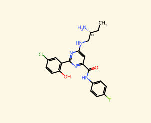 CC[C@@H](N)CNc1cc(C(=O)Nc2ccc(F)cc2)nc(-c2cc(Cl)ccc2O)n1